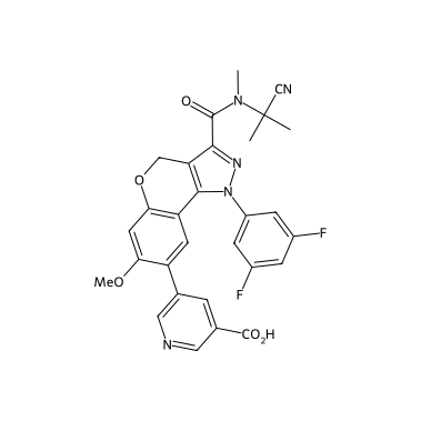 COc1cc2c(cc1-c1cncc(C(=O)O)c1)-c1c(c(C(=O)N(C)C(C)(C)C#N)nn1-c1cc(F)cc(F)c1)CO2